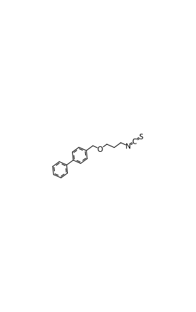 S=C=NCCCOCc1ccc(-c2ccccc2)cc1